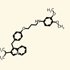 COc1ccc(NCCCOc2ccc(Cc3c(C(C)C)cn4ccccc34)cc2)cc1OC